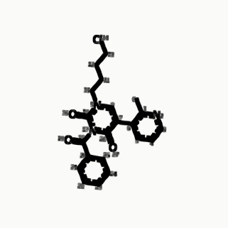 Cc1ncccc1-c1cn(CCCCCl)c(=O)n(C(=O)c2ccccc2)c1=O